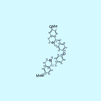 COc1ccc2c(c1)CCN(C)[C@@H]2Cc1ccc(Oc2ccc(C[C@@H]3c4ccc(OC)cc4CCN3C)cc2)cc1